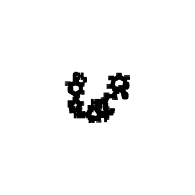 CN1CCC(n2cc(Nc3ncc(C(F)(F)F)c(NCCCN4CCCCOC4=O)n3)nn2)CC1